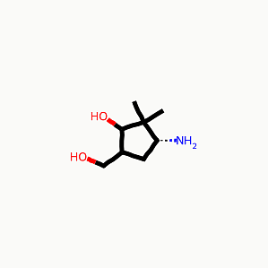 CC1(C)C(O)C(CO)C[C@H]1N